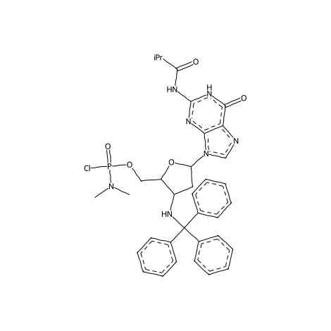 CC(C)C(=O)Nc1nc2c(ncn2C2CC(NC(c3ccccc3)(c3ccccc3)c3ccccc3)C(COP(=O)(Cl)N(C)C)O2)c(=O)[nH]1